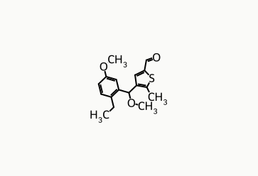 CCc1ccc(OC)cc1C(OC)c1cc(C=O)sc1C